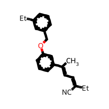 CC/C(C#N)=C/C=C(\C)c1cccc(OCc2cccc(CC)c2)c1